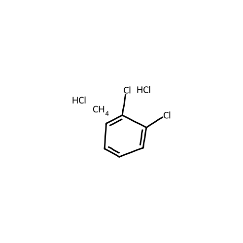 C.Cl.Cl.Clc1ccccc1Cl